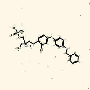 NC(CO)(CCc1ccc(Sc2ccc(OCc3ccccc3)cc2)cc1Cl)COP(=O)(O)O